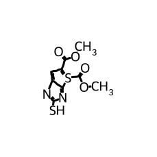 COC(=O)C1=S(C(=O)OC)C2=NC(S)=NC2=C1